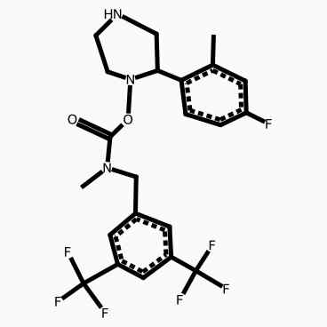 Cc1cc(F)ccc1C1CNCCN1OC(=O)N(C)Cc1cc(C(F)(F)F)cc(C(F)(F)F)c1